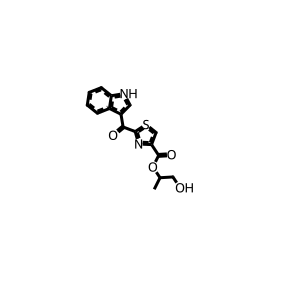 CC(CO)OC(=O)c1csc(C(=O)c2c[nH]c3ccccc23)n1